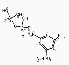 Nc1nc(N)nc(N)n1.O=P(O)(O)OP(=O)(O)O.[NaH]